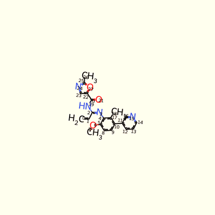 C=C/C(=N\c1c(OC)ccc(-c2cccnc2)c1C)NC(=O)c1cnc(C)o1